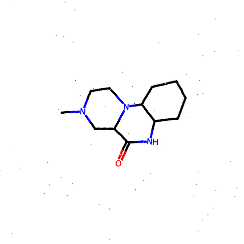 CN1CCN2C(C1)C(=O)NC1CCCCC12